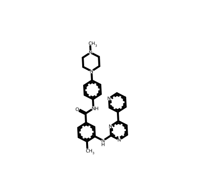 Cc1ccc(C(=O)Nc2ccc(N3CCN(C)CC3)cc2)cc1Nc1nccc(-c2cccnc2)n1